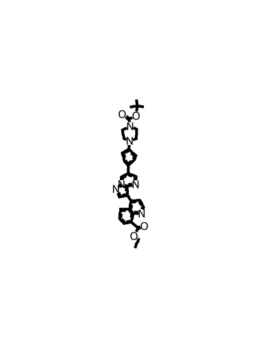 CCOC(=O)c1cccc2c(-c3cnn4cc(-c5ccc(N6CCN(C(=O)OC(C)(C)C)CC6)cc5)cnc34)ccnc12